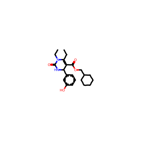 CCC1=C(C(=O)OCC2CCCCC2)C(c2cccc(O)c2)NC(=O)N1CC